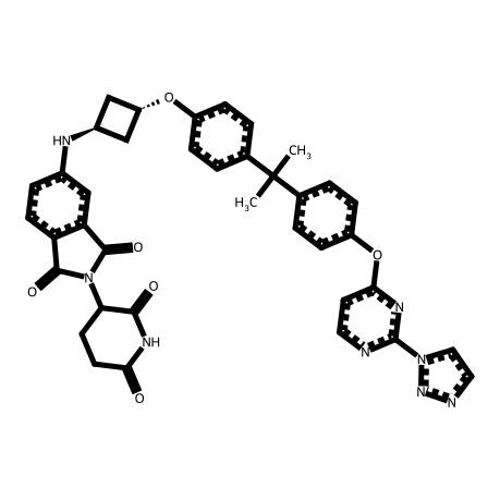 CC(C)(c1ccc(Oc2ccnc(-n3ccnn3)n2)cc1)c1ccc(O[C@H]2C[C@H](Nc3ccc4c(c3)C(=O)N(C3CCC(=O)NC3=O)C4=O)C2)cc1